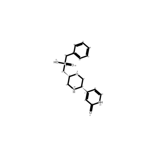 O=c1cc([C@H]2CO[C@@H](CP(=O)(O)Cc3ccccc3)CN2)cc[nH]1